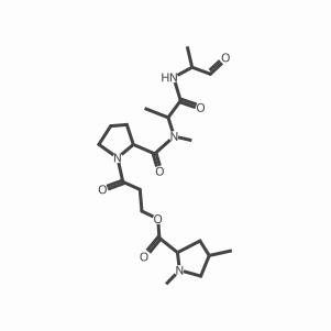 CC1CC(C(=O)OCCC(=O)N2CCCC2C(=O)N(C)C(C)C(=O)NC(C)C=O)N(C)C1